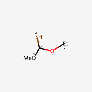 CCOC(S)OC